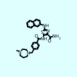 CN1CCCN(Cc2ccc(C(=O)Nc3sc(Nc4ccc5ccccc5c4)nc3C(N)=O)cc2)CC1